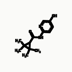 CC1(C)C(C(=O)Nc2ccc(O)cn2)C1(C)C